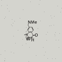 CNCc1ccc2c(c1)[C@@]1(C)CCC[C@H](C2=O)[C@@H]1C